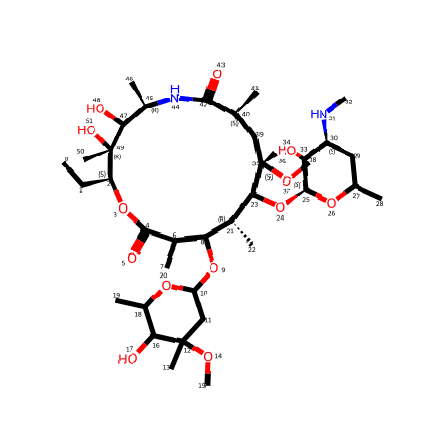 CC[C@@H]1OC(=O)C(C)C(OC2CC(C)(OC)C(O)C(C)O2)[C@@H](C)C(O[C@@H]2OC(C)C[C@H](NC)C2O)[C@@](C)(OC)C[C@H](C)C(=O)N[C@H](C)C(O)[C@@]1(C)O